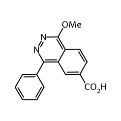 COc1nnc(-c2ccccc2)c2cc(C(=O)O)ccc12